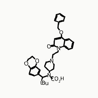 CC(C)(C)C(c1ccc2c(c1)OCCO2)N(C(=O)O)C1CCN(CCn2c(=O)cc(OCc3ccccc3)c3ccccc32)CC1